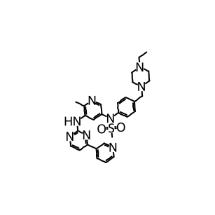 CCN1CCN(Cc2ccc(N(c3cnc(C)c(Nc4nccc(-c5cccnc5)n4)c3)S(C)(=O)=O)cc2)CC1